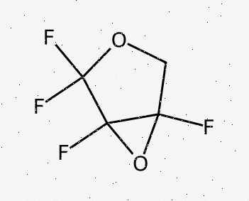 FC1(F)OCC2(F)OC12F